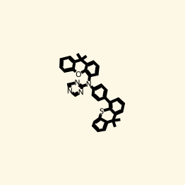 CC1(C)c2ccccc2Oc2c(N(c3ccc(-c4cccc5c4Sc4ccccc4C5(C)C)cc3)c3ncncn3)cccc21